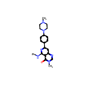 CC(C)Nc1nc(-c2ccc(N3CCN(C)CC3)cc2)cc2ncn(C)c(=O)c12